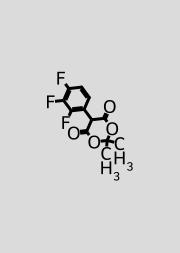 CC1(C)OC(=O)C(c2ccc(F)c(F)c2F)C(=O)O1